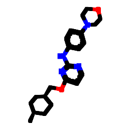 C[C@H]1CC[C@@H](COc2ccnc(Nc3ccc(N4CCOCC4)cc3)n2)CC1